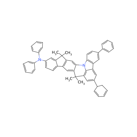 CC1(C)c2cc(N(c3ccccc3)c3ccccc3)ccc2-c2cc3c(cc21)-n1c2ccc(-c4ccccc4)cc2c2cc(C4C=CC=CC4)cc(c21)C3(C)C